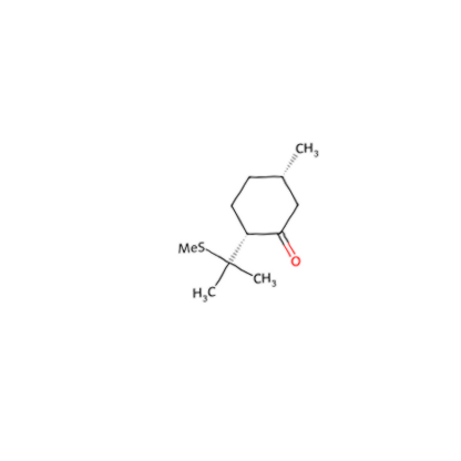 CSC(C)(C)[C@@H]1CC[C@H](C)CC1=O